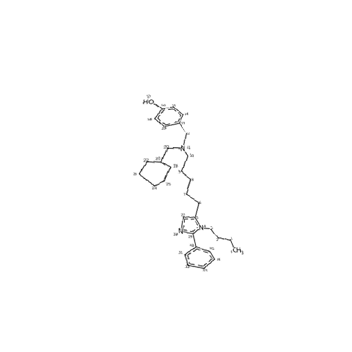 CCCCn1c(CCCCCN(Cc2ccc(O)cc2)CC2CCCCC2)cnc1-c1ccccc1